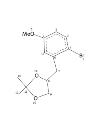 COc1ccc(Br)c(CC2COC(C)(C)O2)c1